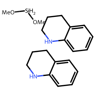 CO[SiH2]OC.c1ccc2c(c1)CCCN2.c1ccc2c(c1)CCCN2